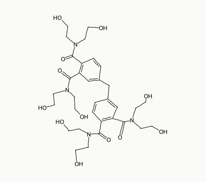 O=C(c1ccc(Cc2ccc(C(=O)N(CCO)CCO)c(C(=O)N(CCO)CCO)c2)cc1C(=O)N(CCO)CCO)N(CCO)CCO